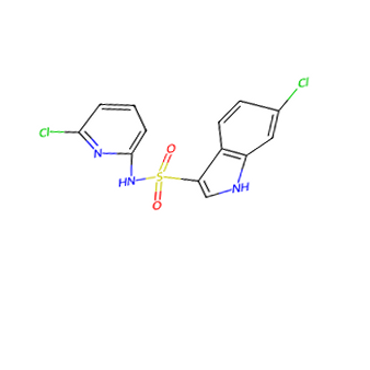 O=S(=O)(Nc1cccc(Cl)n1)c1c[nH]c2cc(Cl)ccc12